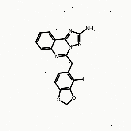 Nc1nc2c3ccccc3nc(Cc3ccc4c(c3I)OCO4)n2n1